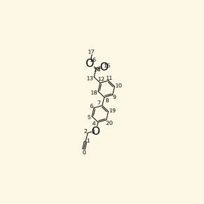 C#CCOc1ccc(-c2cccc(CC(=O)OC)c2)cc1